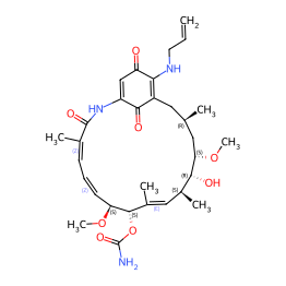 C=CCNC1=C2C[C@@H](C)C[C@H](OC)[C@H](O)[C@@H](C)/C=C(\C)[C@H](OC(N)=O)[C@@H](OC)/C=C\C=C(\C)C(=O)NC(=CC1=O)C2=O